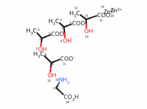 CC(O)C(=O)[O-].CC(O)C(=O)[O-].CC(O)C(=O)[O-].CC(O)C(=O)[O-].NCC(=O)O.[Zn+2].[Zn+2]